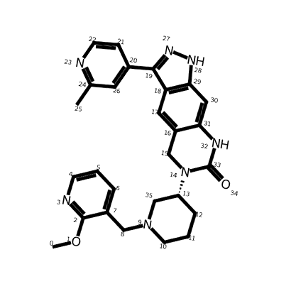 COc1ncccc1CN1CCC[C@@H](N2Cc3cc4c(-c5ccnc(C)c5)n[nH]c4cc3NC2=O)C1